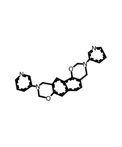 c1cncc(N2COc3cc4ccc5c(c4cc3C2)OCN(c2cccnc2)C5)c1